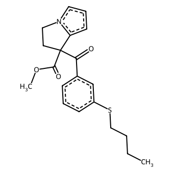 CCCCSc1cccc(C(=O)C2(C(=O)OC)CCn3cccc32)c1